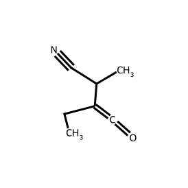 CCC(=C=O)C(C)C#N